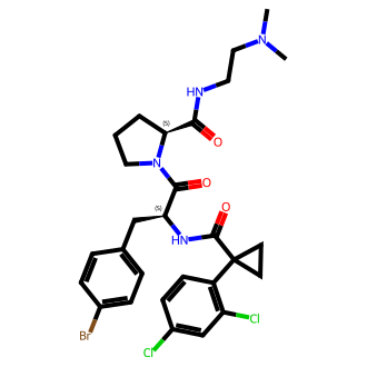 CN(C)CCNC(=O)[C@@H]1CCCN1C(=O)[C@H](Cc1ccc(Br)cc1)NC(=O)C1(c2ccc(Cl)cc2Cl)CC1